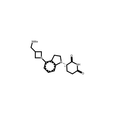 CNCC1CN(c2cccc3c2CCN3[C@H]2CCC(=O)NC2=O)C1